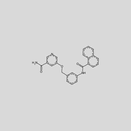 NC(=O)c1cncc(OCc2cccc(NC(=O)c3cccc4ccccc34)c2)c1